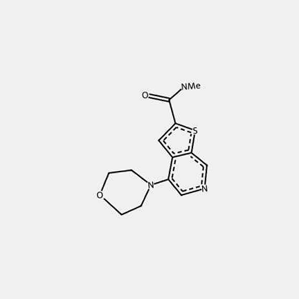 CNC(=O)c1cc2c(N3CCOCC3)cncc2s1